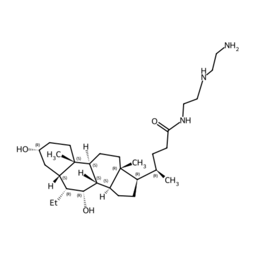 CC[C@H]1[C@@H](O)[C@@H]2[C@H](CC[C@]3(C)[C@@H]([C@H](C)CCC(=O)NCCNCCN)CC[C@@H]23)[C@@]2(C)CC[C@@H](O)C[C@@H]12